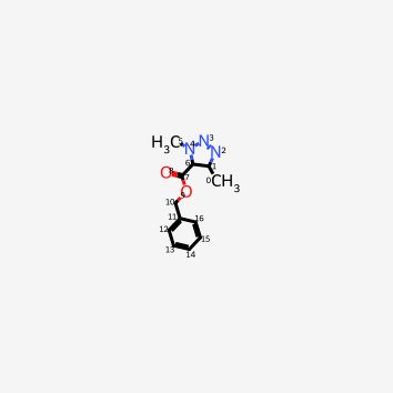 CC1N=NN(C)C1C(=O)OCc1ccccc1